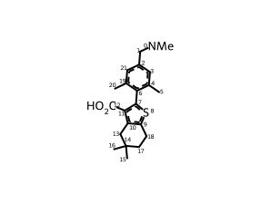 CNCc1cc(C)c(-c2sc3c(c2C(=O)O)CC(C)(C)CC3)c(C)c1